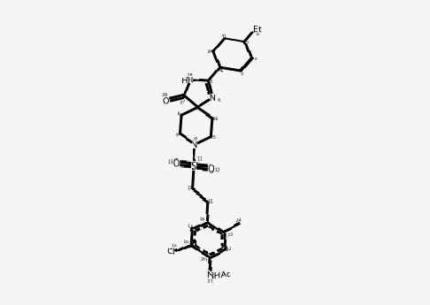 CCC1CCC(C2=NC3(CCN(S(=O)(=O)CCc4cc(Cl)c(NC(C)=O)cc4C)CC3)C(=O)N2)CC1